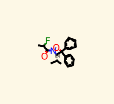 CC(F)C(=O)N1OC(c2ccccc2)(c2ccccc2)[C@@H]1C(C)C